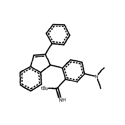 CN(C)c1ccc(C2C(c3ccccc3)=Cc3ccccc32)c(C(=N)C(C)(C)C)c1